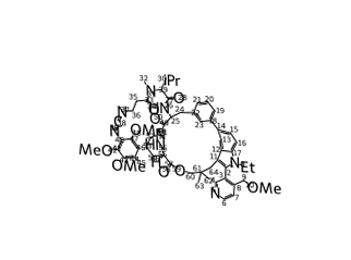 CCn1c(-c2cnccc2COC)c2c3cc(ccc31)-c1cccc(c1)C[C@H](NC(=O)C(C(C)C)N(C)C(=O)CCN=C=Nc1c(OC)cc(OC)cc1OC)C(=O)N1CCC[C@H](N1)C(=O)OCC(C)(C)C2